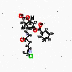 C/C(Cl)=C\CCC(=O)/C=C/[C@@H]1[C@H]2CC(=O)O[C@H]2C[C@H]1OC(=O)c1ccccc1